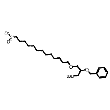 CC[S+]([O-])CCCCCCCCCCCCCOCC(CC(C)(C)C)OCc1ccccc1